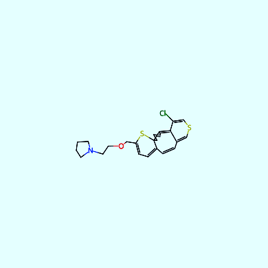 ClC1=CSC=C2C=CC3=CC=C(COCCN4CCCC4)SC34CC=CC4=C12